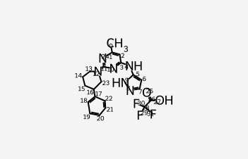 Cc1cc(Nc2ccn[nH]2)nc(N2CCCC(c3ccccc3)C2)n1.O=C(O)C(F)(F)F